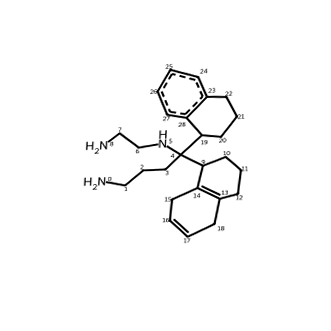 NCCCC(NCCN)(C1CCCC2=C1CC=CC2)C1CCCc2ccccc21